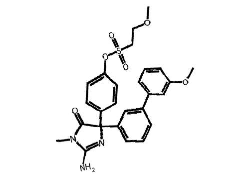 COCCS(=O)(=O)Oc1ccc(C2(c3cccc(-c4cccc(OC)c4)c3)N=C(N)N(C)C2=O)cc1